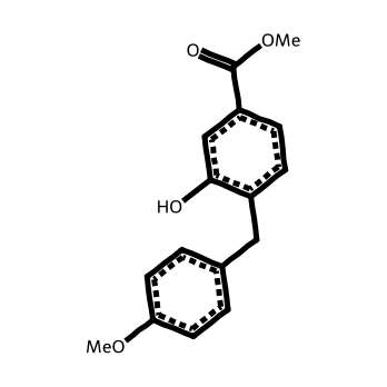 COC(=O)c1ccc(Cc2ccc(OC)cc2)c(O)c1